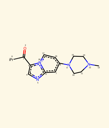 CC(C)C(=O)c1cnc2cc(N3CCN(C)CC3)ccn12